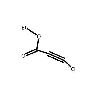 CCOC(=O)C#CCl